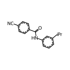 CC(C)c1cccc(NC(=O)c2ccc(C#N)cc2)c1